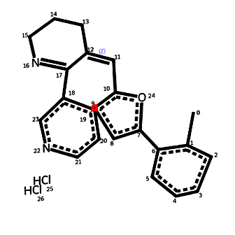 Cc1ccccc1-c1ccc(/C=C2/CCCN=C2c2cccnc2)o1.Cl.Cl